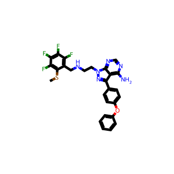 CSc1c(F)c(F)c(F)c(F)c1CNCCn1nc(-c2ccc(Oc3ccccc3)cc2)c2c(N)ncnc21